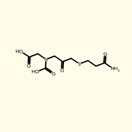 NC(=O)CCSCC(=O)CN(CC(=O)O)C(=O)O